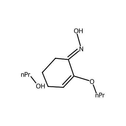 CCCO.CCCOC1=CCCCC1=NO